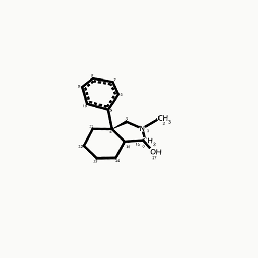 CN(C)C[C@]1(c2ccccc2)CCCCC1CO